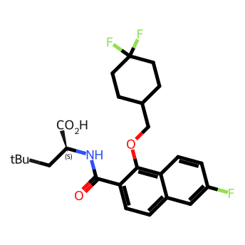 CC(C)(C)C[C@H](NC(=O)c1ccc2cc(F)ccc2c1OCC1CCC(F)(F)CC1)C(=O)O